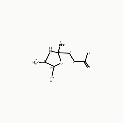 C=C(C)CCC1(CCC)NC(P)C(CC)S1